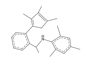 CC1=C(C)C(C)=C(c2ccccc2C(C)Nc2c(C)cc(C)cc2C)C1